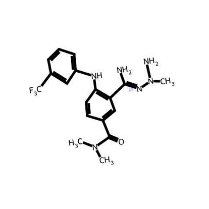 CN(N)/N=C(\N)c1cc(C(=O)N(C)C)ccc1Nc1cccc(C(F)(F)F)c1